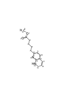 COC(=O)CCCCc1ccc2c(n1)NCC=C2